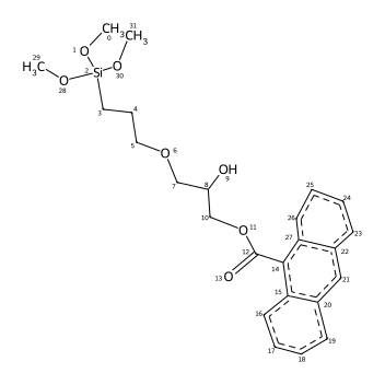 CO[Si](CCCOCC(O)COC(=O)c1c2ccccc2cc2ccccc12)(OC)OC